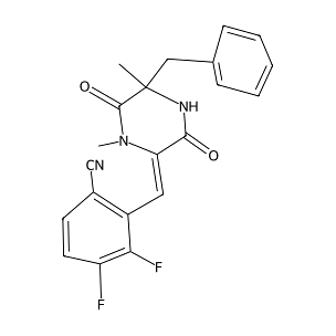 CN1C(=O)C(C)(Cc2ccccc2)NC(=O)/C1=C/c1c(C#N)ccc(F)c1F